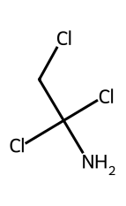 NC(Cl)(Cl)CCl